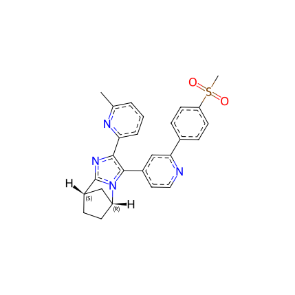 Cc1cccc(-c2nc3n(c2-c2ccnc(-c4ccc(S(C)(=O)=O)cc4)c2)[C@@H]2CC[C@H]3C2)n1